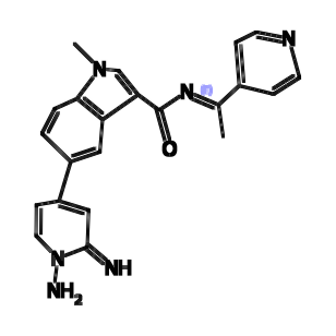 C/C(=N\C(=O)c1cn(C)c2ccc(-c3ccn(N)c(=N)c3)cc12)c1ccncc1